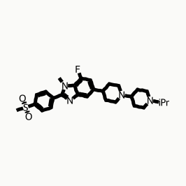 CC(C)N1CCC(N2CCC(c3cc(F)c4c(c3)nc(-c3ccc(S(C)(=O)=O)cc3)n4C)CC2)CC1